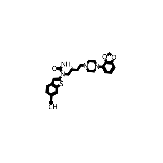 C#Cc1ccc2cc(N(CCCCN3CCN(c4cccc5c4OCO5)CC3)C(N)=O)sc2c1